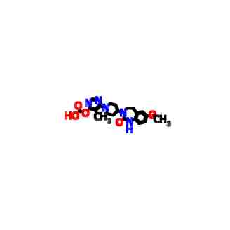 COc1ccc2c(c1)CCN(C1CCN(c3ncnc(OC(=O)O)c3C)CC1)C(=O)N2